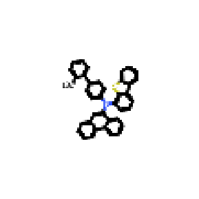 CC(C)(C)c1ccccc1-c1ccc(N(c2cc3ccccc3c3ccccc23)c2cccc3c2sc2ccccc23)cc1